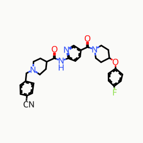 N#Cc1ccc(CN2CCC(C(=O)Nc3ccc(C(=O)N4CCC(Oc5ccc(F)cc5)CC4)cn3)CC2)cc1